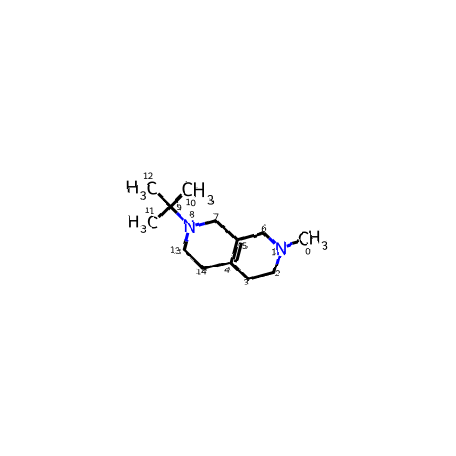 CN1CCC2=C(C1)CN(C(C)(C)C)CC2